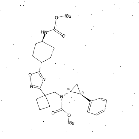 CC(C)(C)OC(=O)N[C@H]1CC[C@H](c2nc(C3(CN(C(=O)OC(C)(C)C)[C@@H]4C[C@H]4c4ccccc4)CCC3)no2)CC1